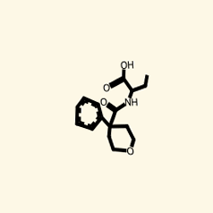 CCC(NC(=O)C1(c2ccccc2)CCOCC1)C(=O)O